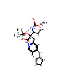 Cc1cnc(C[C@]2([C@H](CC(C)C)NC(=O)OC(C)(C)C)OC(C)(C)OC2=O)cc1CC1CCCC1